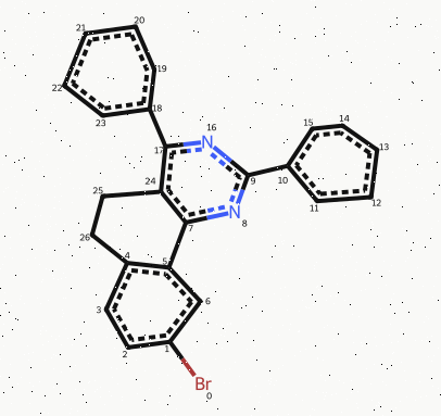 Brc1ccc2c(c1)-c1nc(-c3ccccc3)nc(-c3ccccc3)c1CC2